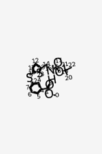 COC(=O)c1cccc(Sc2ccc(CNC(=O)OC(C)(C)C)s2)c1